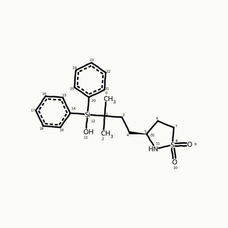 CC(C)(CC[C@H]1CCS(=O)(=O)N1)[Si](O)(c1ccccc1)c1ccccc1